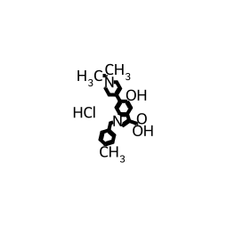 Cc1ccc(Cn2cc(C(=O)O)c3cc(O)c(C4=CCN(C(C)C)CC4)cc32)cc1.Cl